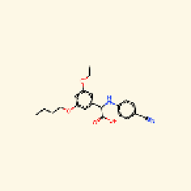 CCCCOc1cc(OCC)cc([C@@H](Nc2ccc(C#N)cc2)C(=O)O)c1